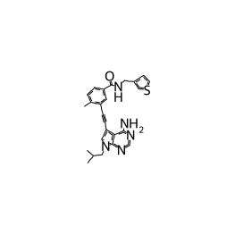 Cc1ccc(C(=O)NCc2ccsc2)cc1C#Cc1cn(CC(C)C)c2ncnc(N)c12